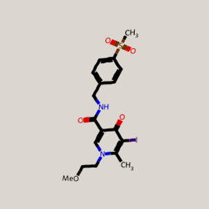 COCCn1cc(C(=O)NCc2ccc(S(C)(=O)=O)cc2)c(=O)c(I)c1C